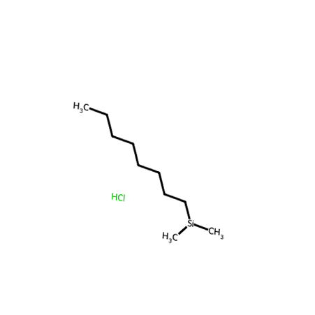 CCCCCCCC[Si](C)C.Cl